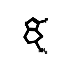 NC1CCc2scc(F)c2C1